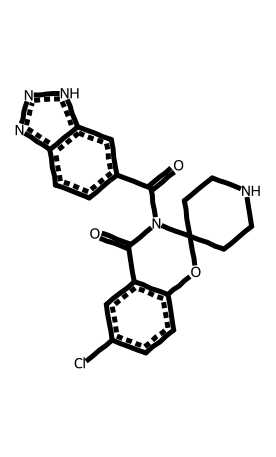 O=C(c1ccc2nn[nH]c2c1)N1C(=O)c2cc(Cl)ccc2OC12CCNCC2